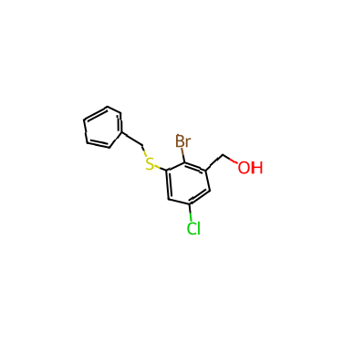 OCc1cc(Cl)cc(SCc2ccccc2)c1Br